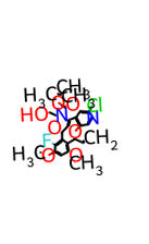 C=CCc1c(OC)cc(OC)c(F)c1C(=O)c1oc2cnc(Cl)cc2c1N(CCO)C(=O)OC(C)(C)C